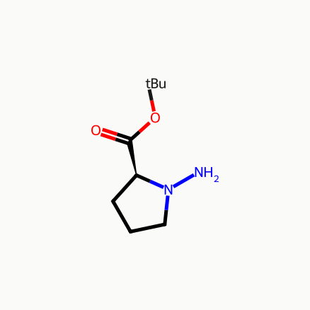 CC(C)(C)OC(=O)[C@@H]1CCCN1N